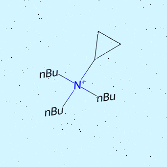 CCCC[N+](CCCC)(CCCC)C1CC1